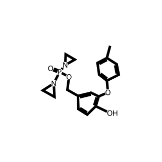 Cc1ccc(Oc2cc(COP(=O)(N3CC3)N3CC3)ccc2O)cc1